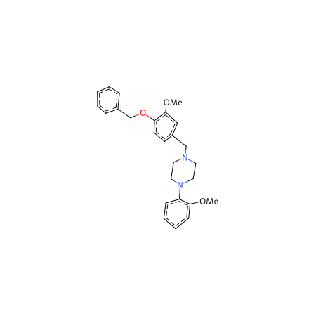 COc1cc(CN2CCN(c3ccccc3OC)CC2)ccc1OCc1ccccc1